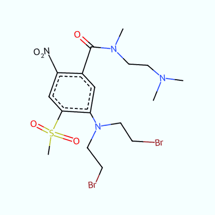 CN(C)CCN(C)C(=O)c1cc(N(CCBr)CCBr)c(S(C)(=O)=O)cc1[N+](=O)[O-]